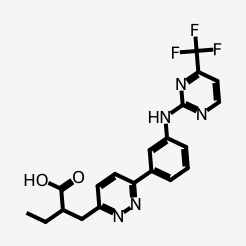 CCC(Cc1ccc(-c2cccc(Nc3nccc(C(F)(F)F)n3)c2)nn1)C(=O)O